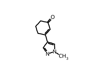 Cn1cc(C2=CC(=O)CCC2)cn1